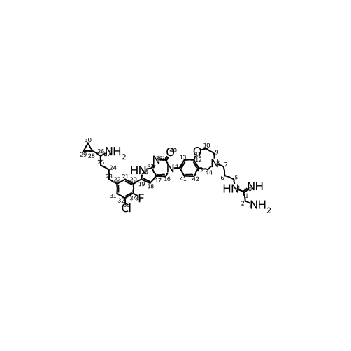 N=C(CN)NCCCN1CCOc2cc(-n3cc4cc(-c5cc(CCCC(N)C6CC6)cc(Cl)c5F)[nH]c4nc3=O)ccc2C1